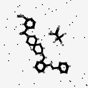 COc1cccc(C(=O)N2CCC3(CCN(Cc4ccccc4OCc4ccccc4)CC3)CC2)c1.O=C(O)C(F)(F)F